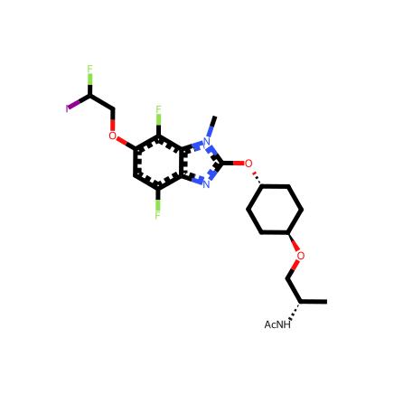 CC(=O)N[C@@H](C)CO[C@H]1CC[C@H](Oc2nc3c(F)cc(OCC(F)I)c(F)c3n2C)CC1